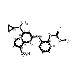 CN(c1cc(Nc2cccnc2OC(=O)OC(C)(C)C)nc2c(C(=O)O)cnn12)C1CC1